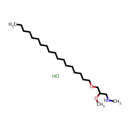 CCCCCCCCCCCCCCCCCCOCC(CNC)OC.Cl